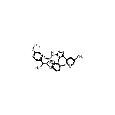 COc1cnc(C(C)C(C)S(=O)(=O)Nc2nnc(-c3cncc(C)c3)n2-c2c(F)cccc2F)cn1